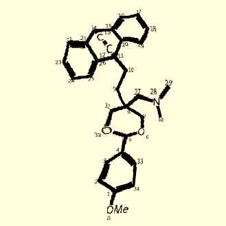 COc1ccc(C2OCC(CCC34CCC(c5ccccc53)c3ccccc34)(CN(C)C)CO2)cc1